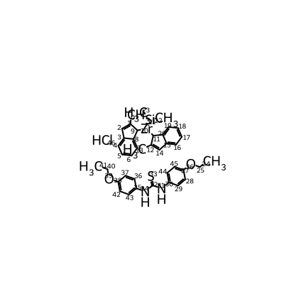 CC1=Cc2ccccc2[CH]1[Zr]([CH]1C(C)=Cc2ccccc21)=[Si](C)C.CCOc1ccc(NC(=S)Nc2ccc(OCC)cc2)cc1.Cl